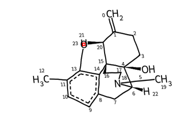 C=C1CC[C@]2(O)[C@@H]3Cc4ccc(C)c5c4[C@]2(CCN3C)[C@@H]1O5